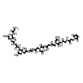 NCC(=O)NCC(=O)N(CC(=O)O)CC(=O)NCC(=O)NCC(=O)N(CC(=O)O)CC(=O)NCCNC(=O)CN(CC(=O)O)C(=O)CNC(=O)CNC(=O)CN(CC(=O)O)C(=O)CNC(=O)CNC(=O)CCN1C(=O)C=CC1=O